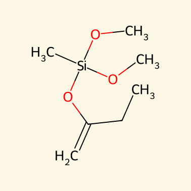 C=C(CC)O[Si](C)(OC)OC